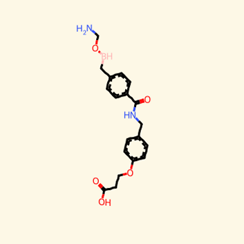 NCOBCc1ccc(C(=O)NCc2ccc(OCCC(=O)O)cc2)cc1